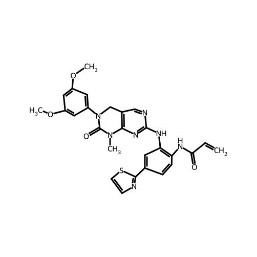 C=CC(=O)Nc1ccc(-c2nccs2)cc1Nc1ncc2c(n1)N(C)C(=O)N(c1cc(OC)cc(OC)c1)C2